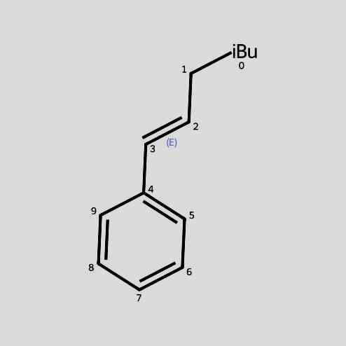 CCC(C)C/C=C/c1ccccc1